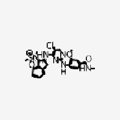 CNC(=O)c1ccc(Nc2ncc(Cl)c(N[C@@H]3Cc4ccccc4[C@H]3N(C)S(C)(=O)=O)n2)c(OC)c1